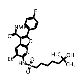 CCc1cc2c(C(=O)NC)c(-c3ccc(F)cc3)oc2nc1NS(=O)(=O)CCCCCC(C)(C)O